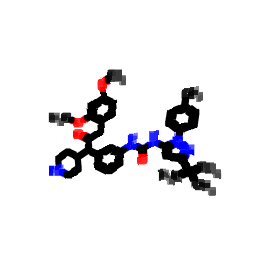 COc1ccc(CC(=O)C(c2cccc(NC(=O)Nc3cc(C(C)(C)C)nn3-c3ccc(C)cc3)c2)C2CCNCC2)c(OC)c1